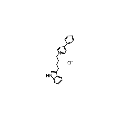 [Cl-].c1ccc(-c2cc[n+](CCCCc3c[nH]c4ccccc34)cc2)cc1